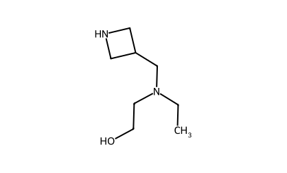 CCN(CCO)CC1CNC1